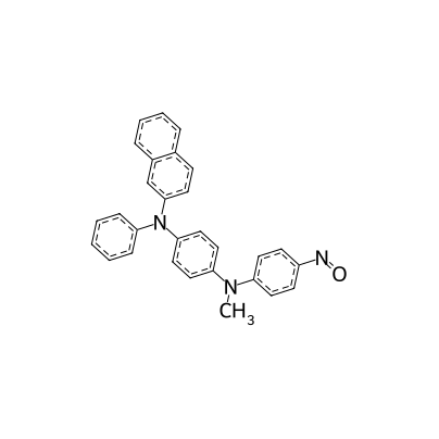 CN(c1ccc(N=O)cc1)c1ccc(N(c2ccccc2)c2ccc3ccccc3c2)cc1